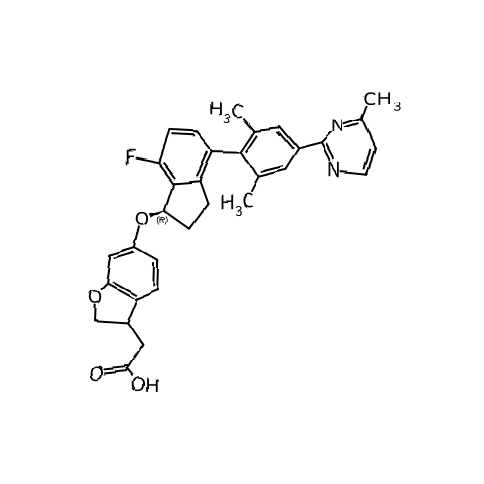 Cc1ccnc(-c2cc(C)c(-c3ccc(F)c4c3CC[C@H]4Oc3ccc4c(c3)OCC4CC(=O)O)c(C)c2)n1